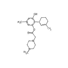 CC1=CC(c2c(O)cc(C)cc2OC(=O)CN2CCN(C)CC2)CCC1